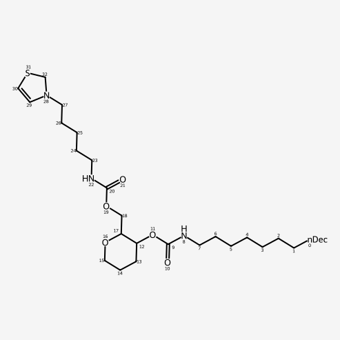 CCCCCCCCCCCCCCCCCNC(=O)OC1CCCOC1COC(=O)NCCCCCN1C=CSC1